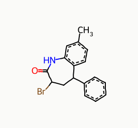 Cc1ccc2c(c1)NC(=O)C(Br)CC2c1ccccc1